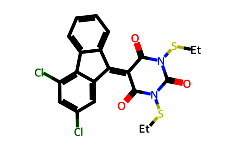 CCSN1C(=O)C(=C2c3ccccc3-c3c(Cl)cc(Cl)cc32)C(=O)N(SCC)C1=O